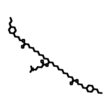 CCCC1CCC(CCCOC(=O)CCCCCCCCCC(CCCCCCCCCC(=O)OCCCC2CCC(CCC)CC2)OC(=O)CCCN(C)C)CC1